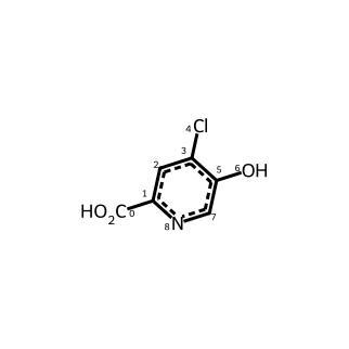 O=C(O)c1cc(Cl)c(O)cn1